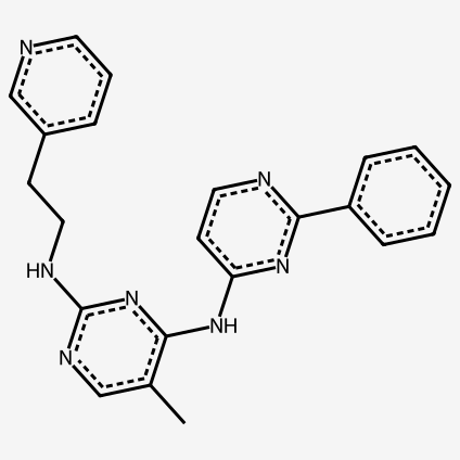 Cc1cnc(NCCc2cccnc2)nc1Nc1ccnc(-c2ccccc2)n1